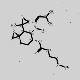 COCCNC(=O)O[C@@H]1CC[C@]2(CO2)C(C2(C)O[C@@H]2/C=C/C(C)C)[C@@H]1OC